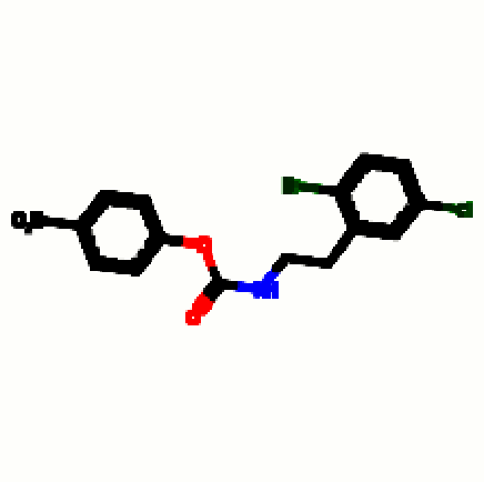 O=C(NCCc1cc(Cl)ccc1Br)Oc1ccc([N+](=O)[O-])cc1